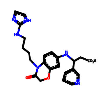 O=C(O)CC(Nc1ccc2c(c1)OCC(=O)N2CCCCNc1ncc[nH]1)c1cccnc1